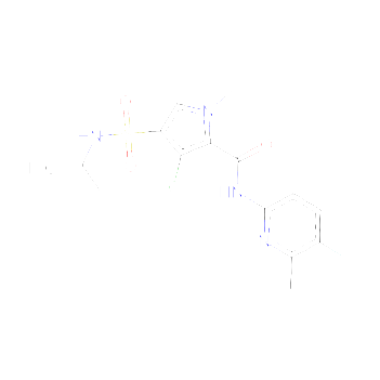 Cc1nc(NC(=O)c2c(Cl)c(S(=O)(=O)N[C@H](C)C(F)(F)F)cn2C)ccc1F